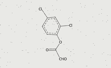 O=CC(=O)Oc1ccc(Cl)cc1Cl